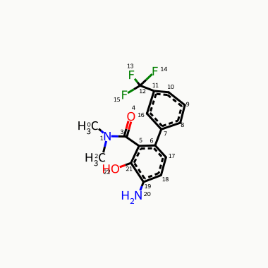 CN(C)C(=O)c1c(-c2cccc(C(F)(F)F)c2)ccc(N)c1O